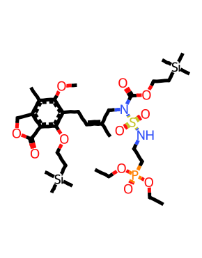 CCOP(=O)(CCNS(=O)(=O)N(CC(C)=CCc1c(OC)c(C)c2c(c1OCC[Si](C)(C)C)C(=O)OC2)C(=O)OCC[Si](C)(C)C)OCC